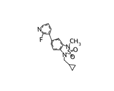 CN1c2cc(-c3cccnc3F)ccc2N(CC2CC2)S1(=O)=O